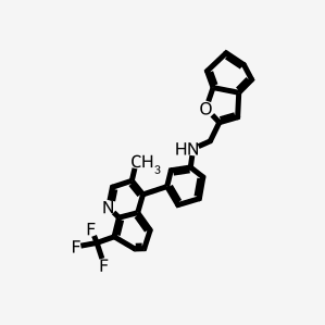 Cc1cnc2c(C(F)(F)F)cccc2c1-c1cccc(NCc2cc3ccccc3o2)c1